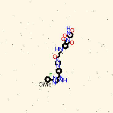 COc1cccc(F)c1-c1ncc2[nH]nc(-c3ccc(N4CCN(C(=O)CCCNc5ccc6c(c5)C(=O)N(C5CCC(=O)NC5=O)C6=O)CC4)cc3)c2n1